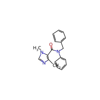 Cc1ncn(C)c1C(=O)N(Cc1ccccc1)c1ccccc1